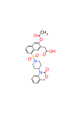 CC(=O)Oc1cc2cccc(S(=O)(=O)N3CCC(N4C(=O)OCc5ccccc54)CC3)c2cc1CC(=O)O